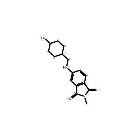 CN1C(=O)c2ccc(NCC3CCC(N)CC3)cc2C1=O